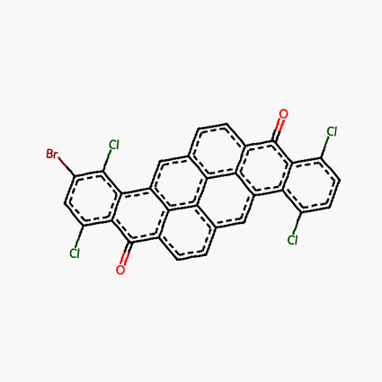 O=c1c2ccc3cc4c5c(Cl)c(Br)cc(Cl)c5c(=O)c5ccc6cc(c7c(Cl)ccc(Cl)c17)c2c3c6c54